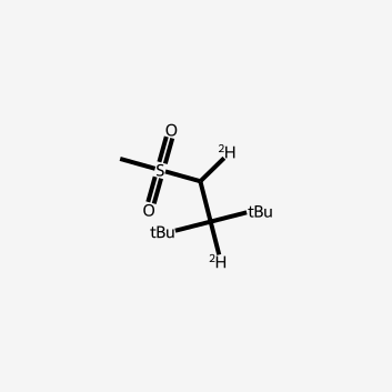 [2H]C(C([2H])(C(C)(C)C)C(C)(C)C)S(C)(=O)=O